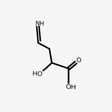 N=CCC(O)C(=O)O